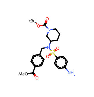 COC(=O)c1ccc(CN(C2CCCN(C(=O)OC(C)(C)C)C2)S(=O)(=O)c2ccc(N)cc2)cc1